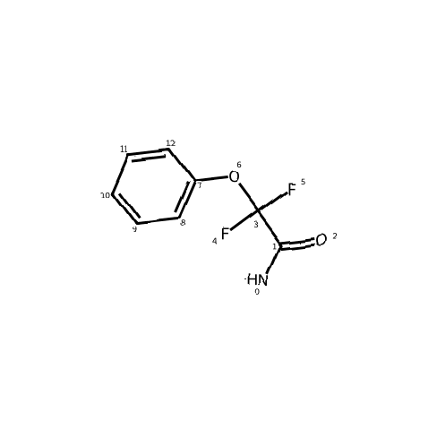 [NH]C(=O)C(F)(F)Oc1ccccc1